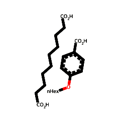 CCCCCCOc1ccc(C(=O)O)cc1.O=C(O)CCCCCCCCC(=O)O